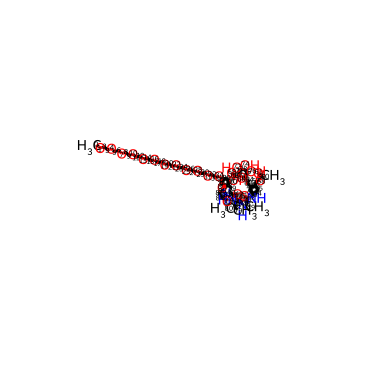 COCCOCCOCCOCCOCCOCCOCCOCCOCCOCCOCCOc1ccc(C[C@@H](C(=O)N[C@H](C(=O)N[C@@H](C)C(=O)Nc2ccc(COC(C)=O)c(CC[C@@H]3O[C@H](C(=O)O)[C@@H](O)[C@H](O)[C@H]3O)c2)C(C)C)N2C(=O)C=CC2=O)cc1